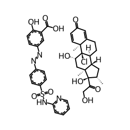 C[C@H]1C[C@H]2[C@@H]3CCC4=CC(=O)C=C[C@]4(C)[C@@]3(Cl)[C@@H](O)C[C@]2(C)[C@@]1(O)C(=O)CO.O=C(O)c1cc(N=Nc2ccc(S(=O)(=O)Nc3ccccn3)cc2)ccc1O